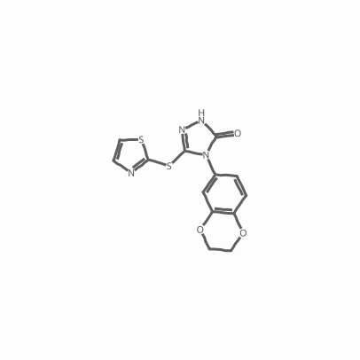 O=c1[nH]nc(Sc2nccs2)n1-c1ccc2c(c1)OCCO2